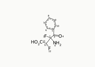 NC(F)(C(=O)c1ccccc1)C(F)C(=O)O